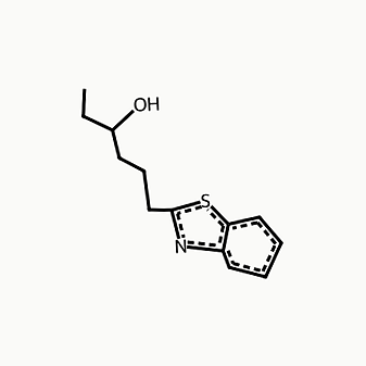 CCC(O)CCCc1nc2ccccc2s1